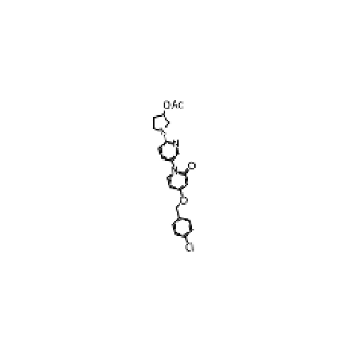 CC(=O)OC1CCN(c2ccc(-n3ccc(OCc4ccc(Cl)cc4)cc3=O)cn2)C1